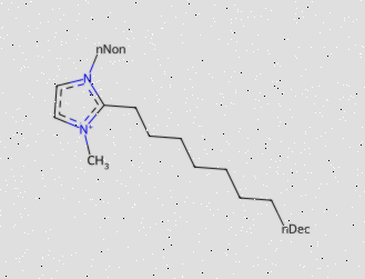 CCCCCCCCCCCCCCCCCc1n(CCCCCCCCC)cc[n+]1C